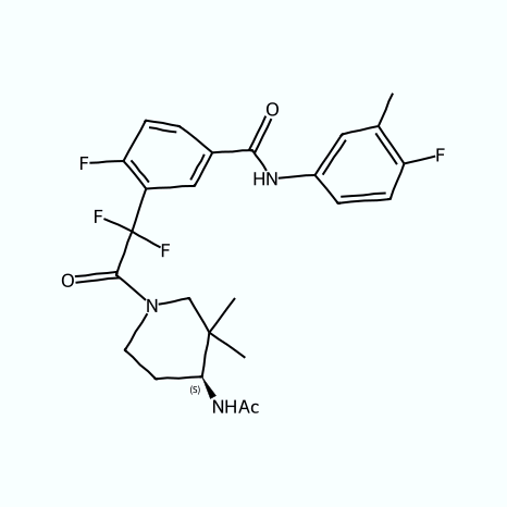 CC(=O)N[C@H]1CCN(C(=O)C(F)(F)c2cc(C(=O)Nc3ccc(F)c(C)c3)ccc2F)CC1(C)C